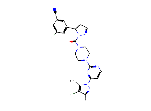 Cc1nn(-c2ccnc(N3CCN(C(=O)N4N=CCC4c4cc(F)cc(C#N)c4)CC3)n2)c(C)c1Br